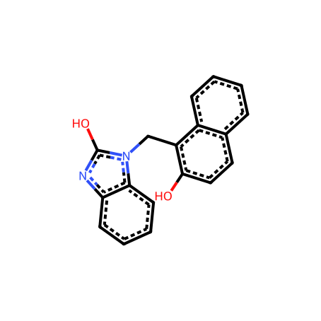 Oc1ccc2ccccc2c1Cn1c(O)nc2ccccc21